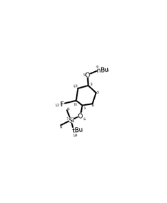 CCCCOC1CCC(O[Si](C)(C)C(C)(C)C)C(F)C1